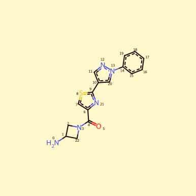 NC1CN(C(=O)c2csc(-c3cnn(-c4ccccc4)c3)n2)C1